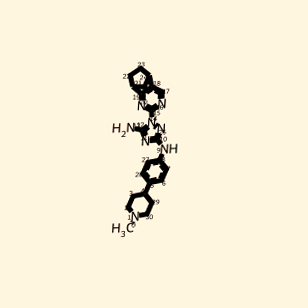 CN1CCC(c2ccc(Nc3nc(N)n(-c4ncc5c(n4)C4CCC5C4)n3)cc2)CC1